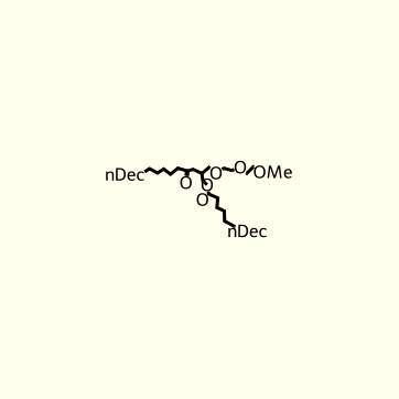 CCCCCCCCCCCCCCCC(=O)CC(COCCOCCOC)COC(=O)CCCCCCCCCCCCCCC